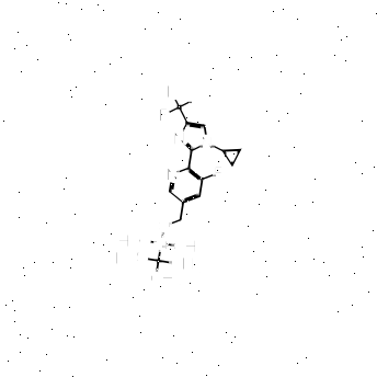 CC(C)(C)[Si](C)(C)OCc1cnc(-c2nc(C(F)(F)F)cn2C2CC2)c(F)c1